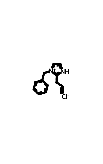 C=CCc1[nH]cc[n+]1Cc1ccccc1.[Cl-]